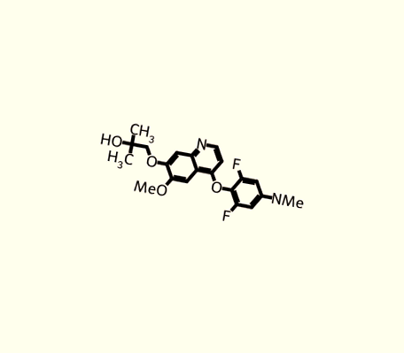 CNc1cc(F)c(Oc2ccnc3cc(OCC(C)(C)O)c(OC)cc23)c(F)c1